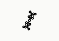 c1ccc(-c2nc(-c3ccccc3)nc(N3c4ccccc4B(c4ccc(B5c6ccccc6N(c6nc(-c7ccccc7)nc(-c7ccccc7)n6)c6ccccc65)cc4)c4ccccc43)n2)cc1